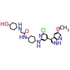 COc1cnc2[nH]cc(-c3cc(Cl)nc(N[C@H]4CC[C@H](NC(=O)CN[C@H]5CC[C@H](O)CC5)CC4)c3)c2c1